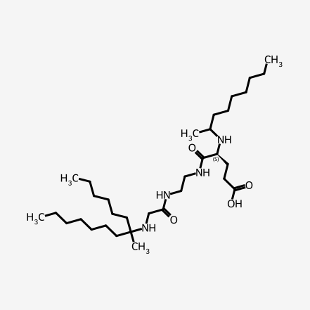 CCCCCCCC(C)N[C@@H](CCC(=O)O)C(=O)NCCNC(=O)CNC(C)(CCCCCC)CCCCCCC